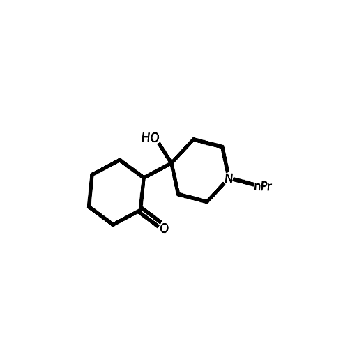 CCCN1CCC(O)(C2CCCCC2=O)CC1